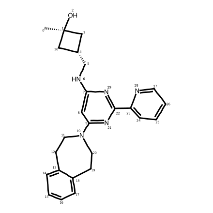 C[C@]1(O)C[C@H](CNc2cc(N3CCc4ccccc4CC3)nc(-c3ccccn3)n2)C1